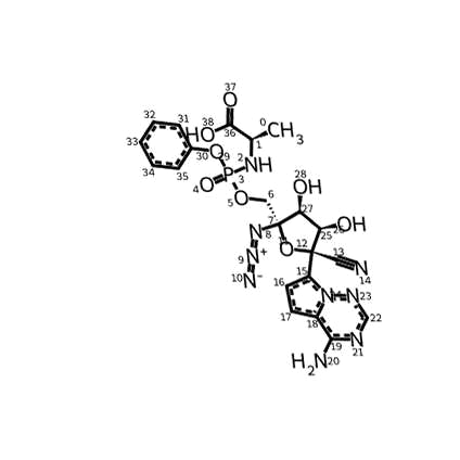 C[C@@H](NP(=O)(OC[C@@]1(N=[N+]=[N-])O[C@@](C#N)(c2ccc3c(N)ncnn23)[C@H](O)[C@@H]1O)Oc1ccccc1)C(=O)O